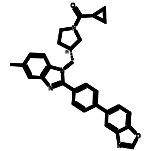 Cc1ccc2c(c1)nc(-c1ccc(-c3ccc4ocnc4c3)cc1)n2C[C@@H]1CCN(C(=O)C2CC2)C1